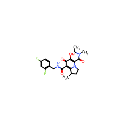 CCN(C)C(=O)c1c(O)c(=O)c(C(=O)NCc2ccc(F)cc2F)c2n1CCC2C